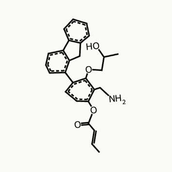 CC=CC(=O)Oc1ccc(-c2cccc3c2Cc2ccccc2-3)c(OCC(C)O)c1CN